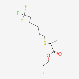 CCCOC(=O)C(C)SCCCCCC(F)(F)F